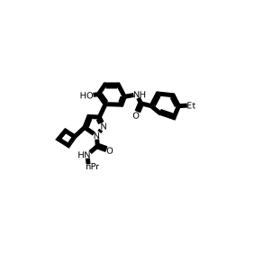 CCCNC(=O)n1nc(-c2cc(NC(=O)c3ccc(CC)cc3)ccc2O)cc1C1CCC1